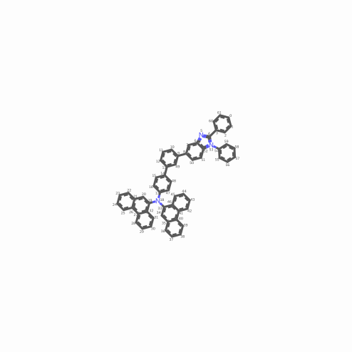 c1ccc(-c2nc3cc(-c4cccc(-c5ccc(N(c6cc7ccccc7c7ccccc67)c6cc7ccccc7c7ccccc67)cc5)c4)ccc3n2-c2ccccc2)cc1